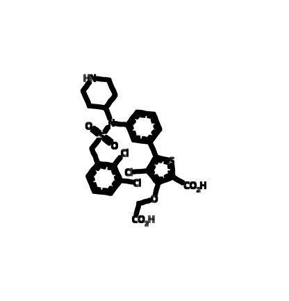 O=C(O)COc1c(C(=O)O)sc(-c2cccc(N(C3CCNCC3)S(=O)(=O)Cc3cccc(Cl)c3Cl)c2)c1Cl